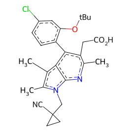 Cc1nc2c(c(C)c(C)n2CC2(C#N)CC2)c(-c2ccc(Cl)cc2OC(C)(C)C)c1CC(=O)O